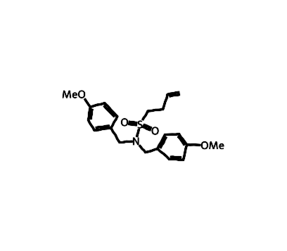 C=CCCS(=O)(=O)N(Cc1ccc(OC)cc1)Cc1ccc(OC)cc1